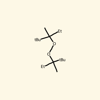 CCC(C)(OOC(C)(CC)C(C)(C)C)C(C)(C)C